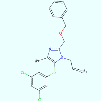 C=CCn1c(COCc2ccccc2)nc(C(C)C)c1Sc1cc(Cl)cc(Cl)c1